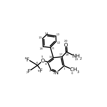 Cc1ncc(OC(F)(F)F)c(-c2ccccc2)c1C(N)=O